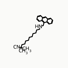 [C-]#[N+]C(C)(C)CCCCCCCCCCNCc1c2ccccc2cc2ccccc12